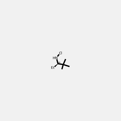 CC[C@@H](NCl)C(C)(C)C